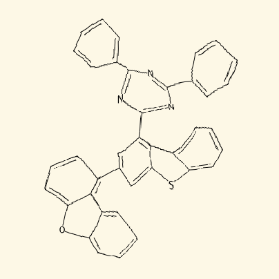 c1ccc(-c2nc(-c3ccccc3)nc(-c3cc(-c4cccc5oc6ccccc6c45)cc4sc5ccccc5c34)n2)cc1